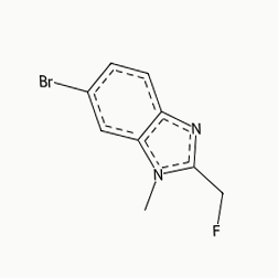 Cn1c(CF)nc2ccc(Br)cc21